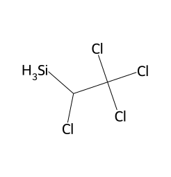 [SiH3]C(Cl)C(Cl)(Cl)Cl